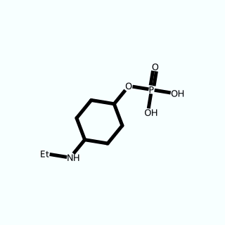 CCNC1CCC(OP(=O)(O)O)CC1